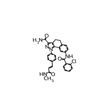 CNC(=O)C=Cc1ccc(-n2nc(C(N)=O)c3c2-c2cc(NC(=O)c4ccccc4Cl)ccc2CC3)cc1